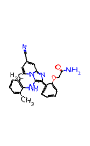 Cc1cccc(C)c1Nc1c(-c2ccccc2OCC(N)=O)nc2cc(C#N)ccn12